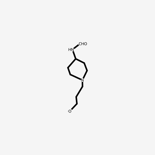 [O]CCCN1CCC(NC=O)CC1